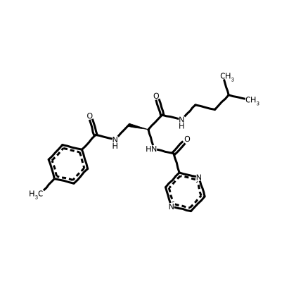 Cc1ccc(C(=O)NC[C@H](NC(=O)c2cnccn2)C(=O)NCCC(C)C)cc1